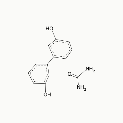 NC(N)=O.Oc1cccc(-c2cccc(O)c2)c1